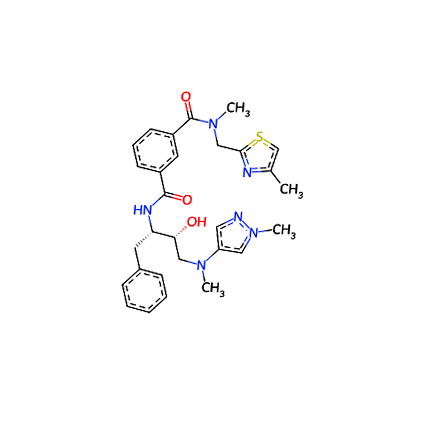 Cc1csc(CN(C)C(=O)c2cccc(C(=O)N[C@@H](Cc3ccccc3)[C@H](O)CN(C)c3cnn(C)c3)c2)n1